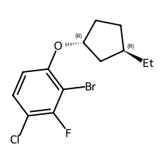 CC[C@@H]1CC[C@@H](Oc2ccc(Cl)c(F)c2Br)C1